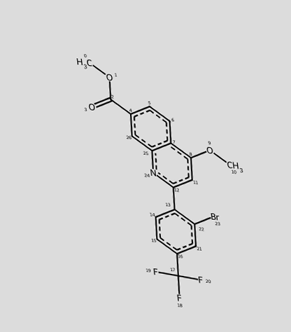 COC(=O)c1ccc2c(OC)cc(-c3ccc(C(F)(F)F)cc3Br)nc2c1